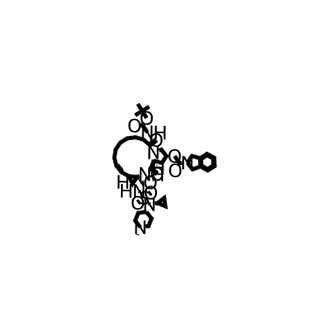 CN1CCC(N(C2CC2)S(=O)(=O)NC(=O)[C@@]23C[C@H]2/C=C\CCCCC[C@H](NC(=O)OC(C)(C)C)C(=O)N2C[C@H](OC(=O)N4Cc5ccccc5C4)C[C@H]2C(=O)N3)CC1